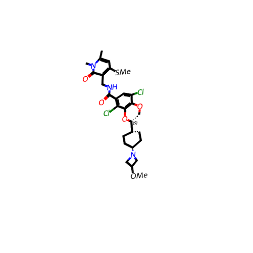 COC1CN([C@H]2CC[C@@H]([C@H]3COc4c(Cl)cc(C(=O)NCc5c(SC)cc(C)n(C)c5=O)c(Cl)c4O3)CC2)C1